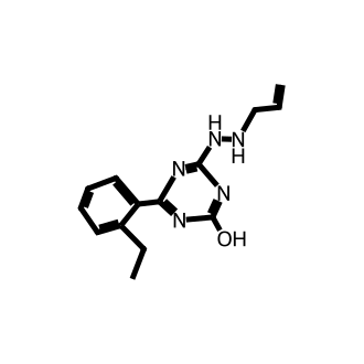 C=CCNNc1nc(O)nc(-c2ccccc2CC)n1